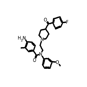 COc1cccc(N(CCN2CCC(C(=O)c3ccc(F)cc3)CC2)C(=O)c2ccc(N)c(C)c2)c1